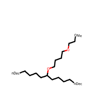 CCCCCCCCCCCCCCC(CCCCCCCCCCCCCC)OCCCCOCCOC